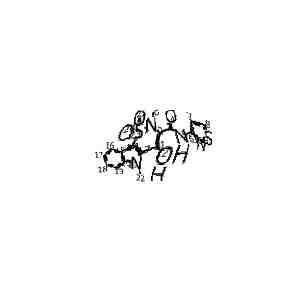 CN1C(C(=O)Nc2ccsn2)=C(O)c2c(c3ccccc3n2C)S1(=O)=O